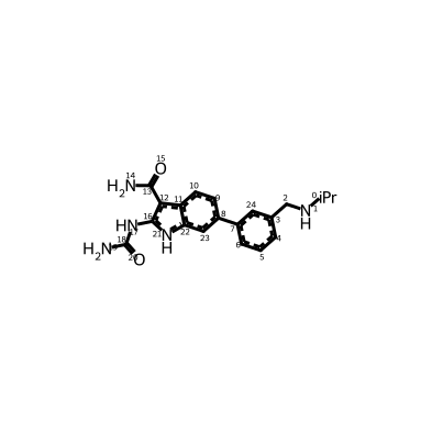 CC(C)NCc1cccc(-c2ccc3c(C(N)=O)c(NC(N)=O)[nH]c3c2)c1